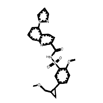 COCC1CC1c1ccc(OC)c(S(=O)(=O)NC(=O)c2ccc3c(-n4cccn4)cccc3n2)c1